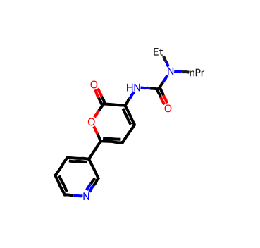 CCCN(CC)C(=O)Nc1ccc(-c2cccnc2)oc1=O